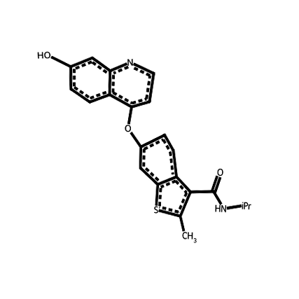 Cc1sc2cc(Oc3ccnc4cc(O)ccc34)ccc2c1C(=O)NC(C)C